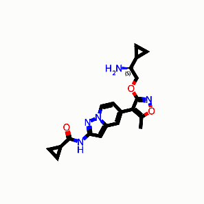 Cc1onc(OC[C@@H](N)C2CC2)c1-c1ccn2nc(NC(=O)C3CC3)cc2c1